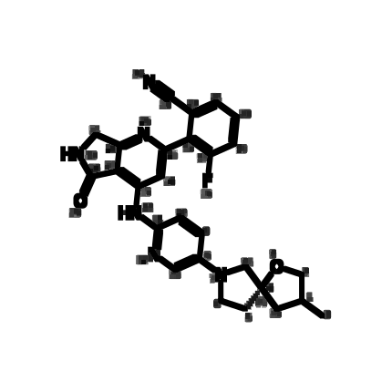 CC1CO[C@@]2(CCN(c3ccc(Nc4cc(-c5c(F)cccc5C#N)nc5c4C(=O)NC5)nc3)C2)C1